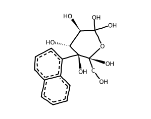 OC[C@@]1(O)OC(O)(O)[C@H](O)[C@@H](O)[C@@]1(O)c1cccc2ccccc12